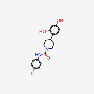 O=C(Nc1ccc(F)cc1)N1CCC(c2ccc(O)cc2O)CC1